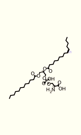 CCCC/C=C\CCCCCCCC(=O)O[C@H](COC(=O)CCCCCCCCCCC)COP(=O)(O)OC[C@H](N)C(=O)O